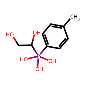 Cc1ccc(P(O)(O)(O)C(O)CO)cc1